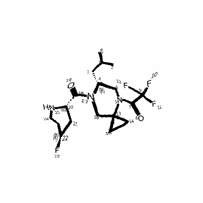 CC(C)C[C@@H]1CN(C(=O)C(F)(F)F)C2(CC2)CN1C(=O)[C@@H]1C[C@@H](F)CN1